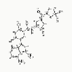 Nc1ncnn2c(-c3cc(C(=O)N[C@@H]4CN(C(=O)C5CCC(F)(F)C5)C[C@@H]4F)c(Cl)cc3F)cc(C(F)(F)F)c12